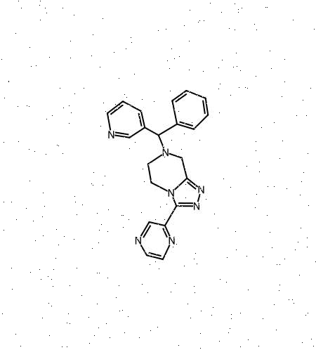 c1ccc(C(c2cccnc2)N2CCn3c(nnc3-c3cnccn3)C2)cc1